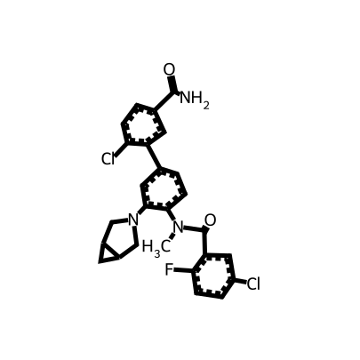 CN(C(=O)c1cc(Cl)ccc1F)c1ccc(-c2cc(C(N)=O)ccc2Cl)cc1N1CC2CC2C1